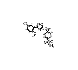 COc1ccc(Cl)cc1-c1noc([C@@H]2CC23CCN(S(N)(=O)=O)CC3)n1